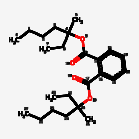 CCCCC(C)(CC)OC(=O)c1ccccc1C(=O)OC(C)(CC)CCCC